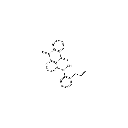 C=CCc1ccccc1N(O)c1cccc2c1C(=O)c1ccccc1C2=O